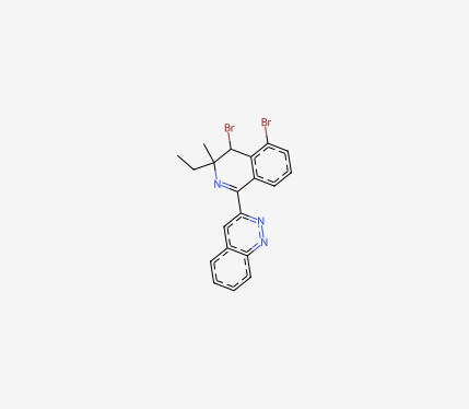 CCC1(C)N=C(c2cc3ccccc3nn2)c2cccc(Br)c2C1Br